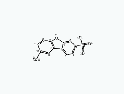 O=S(=O)(Cl)c1ccc2c(c1)oc1ccc(Br)cc12